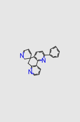 C1=CC2(CN=C1)Cc1ncccc1-c1nc(-c3ccccc3)ccc12